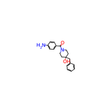 Nc1ccc(C(=O)N2CCC(O)(Cc3ccccc3)CC2)cc1